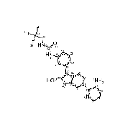 Cl.Nc1cccnc1-c1ccn2c(-c3cccc(NC(=O)NCC(F)(F)F)c3)cnc2c1